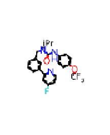 CC(C)N(Cc1cccc(-c2cc(F)ccn2)c1)C(=O)Nc1ccc(OC(F)(F)F)cc1